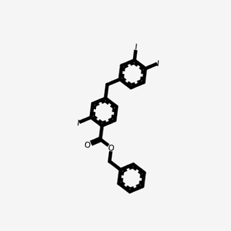 O=C(OCc1ccccc1)c1ccc(Cc2ccc(I)c(I)c2)cc1I